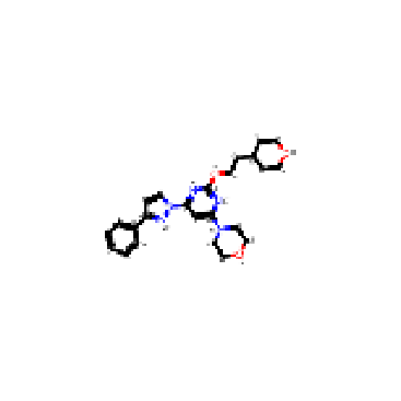 c1ccc(-c2ccn(-c3cc(N4CCOCC4)nc(OCCC4CCOCC4)n3)n2)cc1